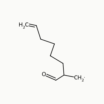 [CH2]C(C=O)CCCCC=C